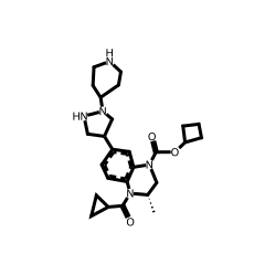 C[C@H]1CN(C(=O)OC2CCC2)c2cc(C3CNN(C4CCNCC4)C3)ccc2N1C(=O)C1CC1